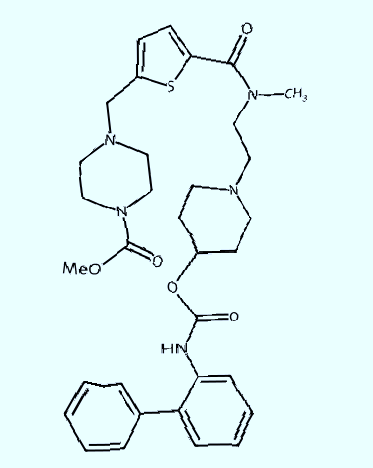 COC(=O)N1CCN(Cc2ccc(C(=O)N(C)CCN3CCC(OC(=O)Nc4ccccc4-c4ccccc4)CC3)s2)CC1